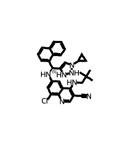 CC(C)(C)CNc1c(C#N)cnc2c(Cl)cc(N[C@H](C3=CN(C4CC4)NN3)c3cccc4ccccc34)cc12